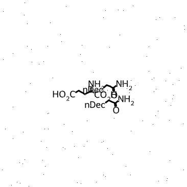 CCCCCCCCCCCC(N)=O.CCCCCCCCCCCC(N)=O.NC(CCC(=O)O)C(=O)O